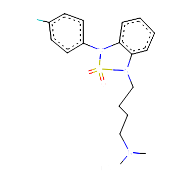 CN(CCCCN1c2ccccc2N(c2ccc(F)cc2)S1(=O)=O)C(=O)O